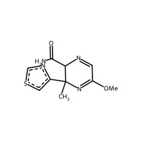 COC1=NC(C)(c2cscn2)C(C(N)=O)N=C1